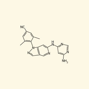 Cc1cc(C#N)cc(C)c1-n1ncc2cnc(Nc3cc(N)ncn3)cc21